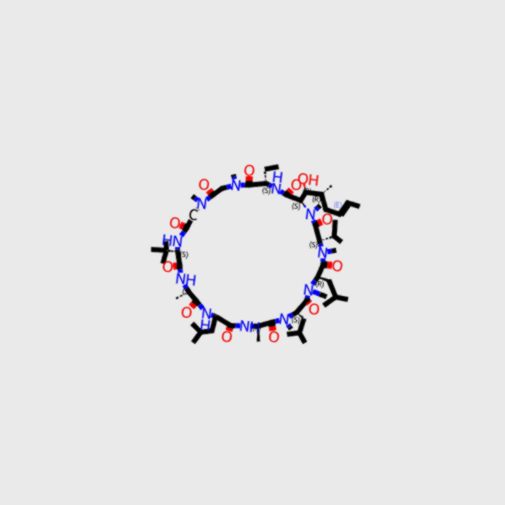 C/C=C/C[C@@H](C)[C@@H](O)[C@H]1C(=O)N[C@@H](CC)C(=O)N(C)CC(=O)N(C)CC(=O)N[C@@H](C(C)(C)C)C(=O)N[C@@H](C)C(=O)NC(CC(C)C)C(=O)N[C@H](C)C(=O)N(C)[C@@H](CC(C)C)C(=O)N(C)[C@H](CC(C)C)C(=O)N(C)[C@@H](C(C)C)C(=O)N1C